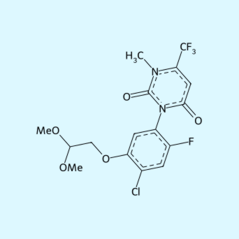 COC(COc1cc(-n2c(=O)cc(C(F)(F)F)n(C)c2=O)c(F)cc1Cl)OC